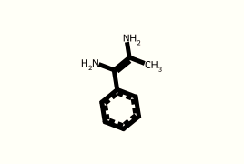 C/C(N)=C(/N)c1ccccc1